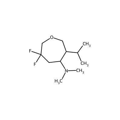 CC(C)C1COCC(F)(F)CC1N(C)C